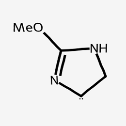 COC1=N[C]CN1